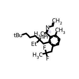 C=C/N=C(/C)c1c(C)ccc(CC(C)(F)F)c1CC(CC)(CCC)CCCC(C)(C)C